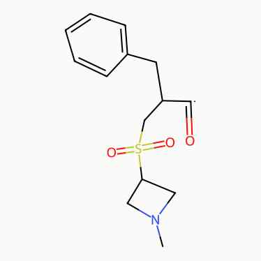 CN1CC(S(=O)(=O)CC([C]=O)Cc2ccccc2)C1